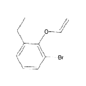 C=COc1c(Br)cccc1CC